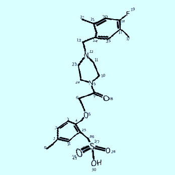 Cc1ccc(OCC(=O)N2CCN(Cc3cc(C)c(F)cc3C)CC2)c(CS(=O)(=O)O)c1